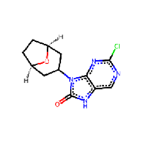 O=c1[nH]c2cnc(Cl)nc2n1C1C[C@H]2CC[C@@H](C1)O2